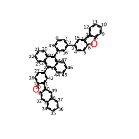 c1cc(-c2ccc3oc4ccccc4c3c2)cc(-c2c3ccccc3c(-c3ccc4oc5cc6ccccc6cc5c4c3)c3ccccc23)c1